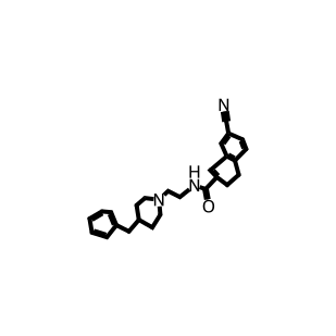 N#Cc1ccc2c(c1)C=C(C(=O)NCCN1CCC(Cc3ccccc3)CC1)CC2